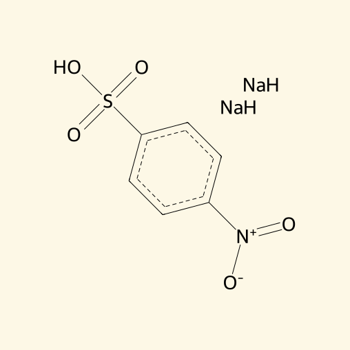 O=[N+]([O-])c1ccc(S(=O)(=O)O)cc1.[NaH].[NaH]